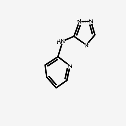 C1=NN=C(Nc2ccccn2)[N]1